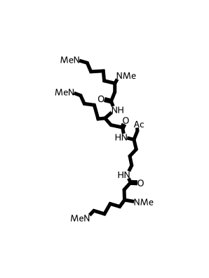 CNCCCCC(CC(=O)NCCCC(CC(C)=O)NC(=O)CC(CCCCNC)NC(=O)CC(CCCCNC)NC)NC